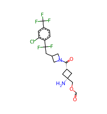 N[C@]1(COC=O)C[C@H](C(=O)N2CC(CC(F)(F)c3ccc(C(F)(F)F)cc3Cl)C2)C1